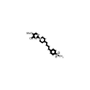 COc1cnc(N2CCC(CCCCc3ccc(S(C)(=O)=O)cc3)CC2)nc1Cl